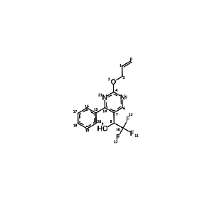 C=CCOc1ncc(C(O)C(F)(F)F)c(-c2ccccc2)n1